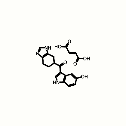 O=C(O)C=CC(=O)O.O=C(c1c[nH]c2ccc(O)cc12)C1CCc2nc[nH]c2C1